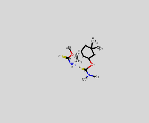 CCC.CCN(CC)C(=S)OC1CCCC(C)(C)C1.CCOC(N)=S